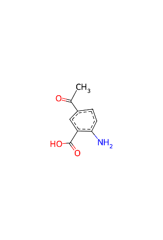 CC(=O)c1ccc(N)c(C(=O)O)c1